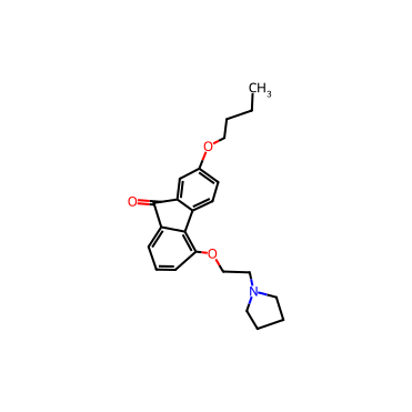 CCCCOc1ccc2c(c1)C(=O)c1cccc(OCCN3CCCC3)c1-2